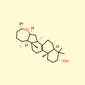 CC(C)[C@H]1CC[C@@H](C)[C@H]2[C@H](C[C@@]3(C)C4=C(CC[C@]23C)[C@@]2(C)CC[C@@H](O)C(C)(C)[C@@H]2CC4)O1